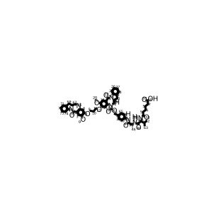 COc1cc2c(cc1OCCCOc1cc3c(cc1OC)C(=O)N1c4ccccc4C[C@H]1CN3C(=O)OCc1ccc(NC(=O)[C@@H](C)NC(=O)[C@H](NC(=O)CCCCC(=O)O)C(C)C)cc1)N=CC1Cc3ccccc3N1C2=O